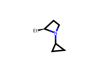 CC[C@H]1CCN1C1CC1